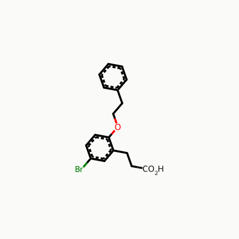 O=C(O)CCc1cc(Br)ccc1OCCc1ccccc1